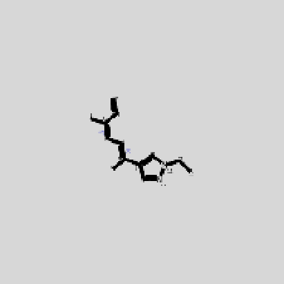 C=C/C(C)=C\C=C(/C)c1cnn(CC)c1